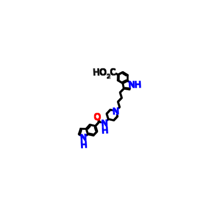 O=C(O)c1ccc2[nH]cc(CCCCN3CCC(NC(=O)c4ccc5[nH]ccc5c4)CC3)c2c1